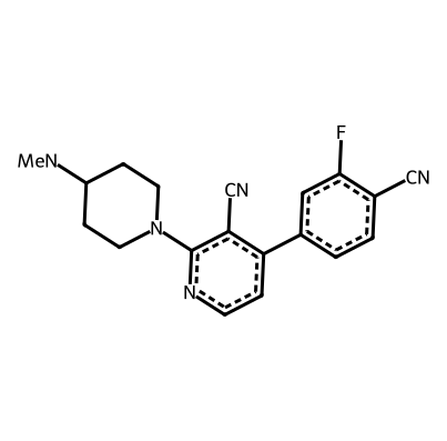 CNC1CCN(c2nccc(-c3ccc(C#N)c(F)c3)c2C#N)CC1